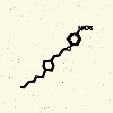 CCCCCCC1CCC(CCCOc2ccc(N=C=S)cc2)CC1